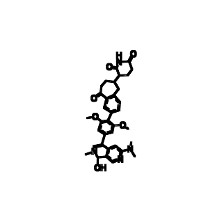 COc1cc(C2=CN(C)C(O)c3cnc(N(C)C)cc32)cc(OC)c1-c1ccc2c(c1)C(=O)CCC(C1CCC(=O)NC1=O)C2